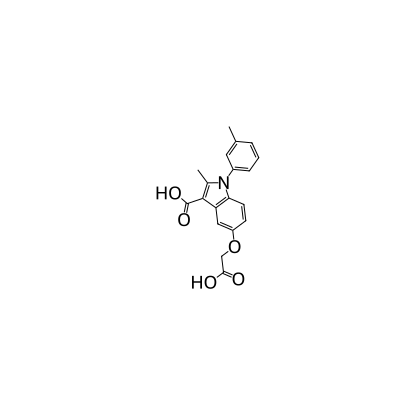 Cc1cccc(-n2c(C)c(C(=O)O)c3cc(OCC(=O)O)ccc32)c1